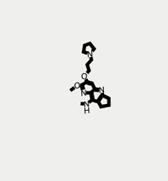 CNc1c2c(nc3cc(OCCCN4CCCC4)c(OC)nc13)CCC2